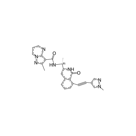 Cc1nn2cccnc2c1C(=O)N[C@H](C)c1cc2cccc(C#Cc3cnn(C)c3)c2c(=O)[nH]1